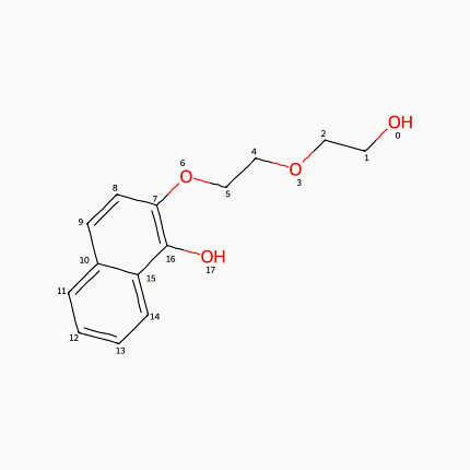 OCCOCCOc1ccc2ccccc2c1O